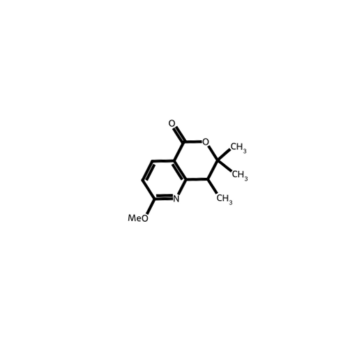 COc1ccc2c(n1)C(C)C(C)(C)OC2=O